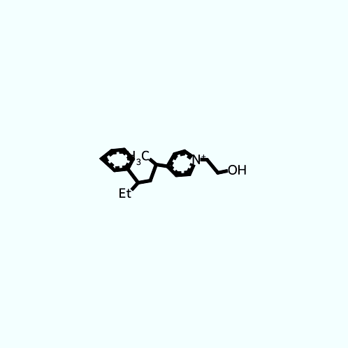 CCC(CC(C)c1cc[n+](CCO)cc1)c1ccccc1